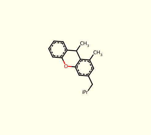 Cc1cc(CC(C)C)cc2c1C(C)c1ccccc1O2